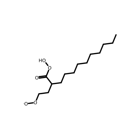 CCCCCCCCCCC(CCO[O])C(=O)OO